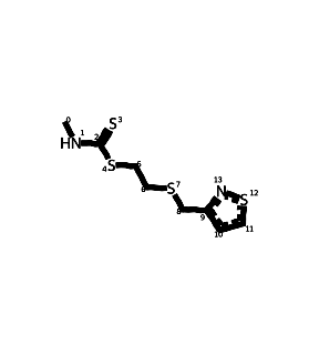 CNC(=S)SCCSCc1ccsn1